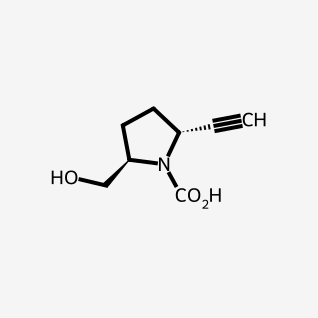 C#C[C@H]1CC[C@H](CO)N1C(=O)O